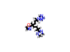 CC(C)(CCC(C)(CCC(C)(C)n1cnnn1)c1ncco1)c1ncccn1